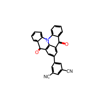 N#Cc1cc(C#N)cc(-c2cc3c(=O)c4ccccc4n4c5ccccc5c(=O)c(c2)c34)c1